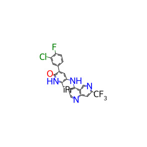 CC(C)c1[nH]c(=O)c(-c2ccc(F)c(Cl)c2)cc1Nc1ccnc2cc(C(F)(F)F)ncc12